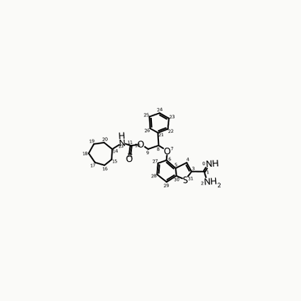 N=C(N)c1cc2c(OC(COC(=O)NC3CCCCCC3)c3ccccc3)cccc2s1